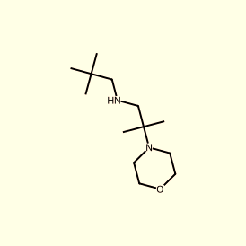 CC(C)(C)CNCC(C)(C)N1CCOCC1